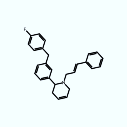 Fc1ccc(Cc2cccc(C3CC=CCN3C/C=C/c3ccccc3)c2)cc1